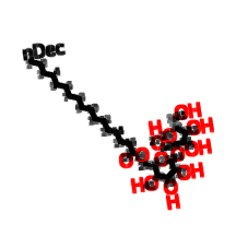 CCCCCCCCCCCCCCCCCCCCCCCCCCC(=O)OC[C@H]1O[C@H](O[C@]2(CO)O[C@H](CO)[C@@H](O)[C@@H]2O)[C@H](O)[C@@H](O)[C@@H]1O